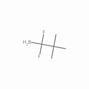 BC(F)(F)C(C)(C)C